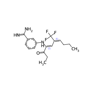 CCC/C=C(\C=C(/Nc1cccc(C(=N)N)c1)C(=O)CC)C(F)(F)F